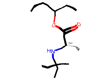 CCC(CC)OC(=O)[C@H](C)NC(C)(C)C